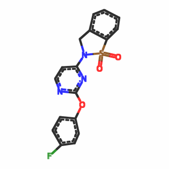 O=S1(=O)c2ccccc2CN1c1ccnc(Oc2ccc(F)cc2)n1